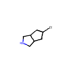 CCC1CC2CNCC2C1